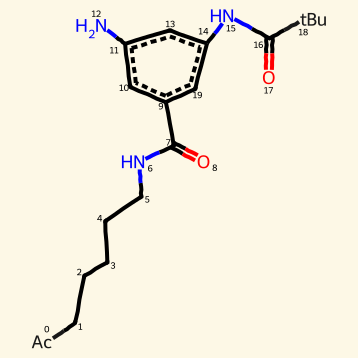 CC(=O)CCCCCNC(=O)c1cc(N)cc(NC(=O)C(C)(C)C)c1